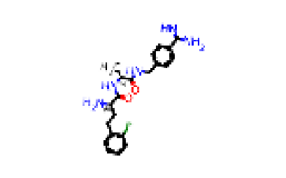 C[C@H](NC(=O)[C@H](N)CCc1ccccc1F)C(=O)NCc1ccc(C(=N)N)cc1